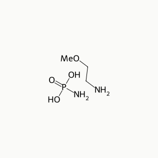 COCCN.NP(=O)(O)O